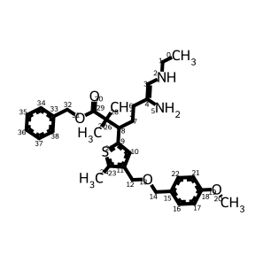 CCN/C=C(\N)CCC(c1cc(COCc2ccc(OC)cc2)c(C)s1)C(C)(C)C(=O)OCc1ccccc1